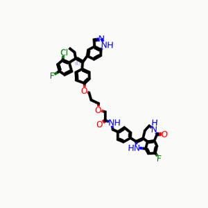 CC/C(=C(/c1ccc(OCCCOCC(=O)NCc2ccc(-c3[nH]c4cc(F)cc5c4c3CCNC5=O)cc2)cc1)c1ccc2[nH]ncc2c1)c1ccc(F)cc1Cl